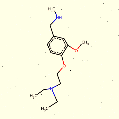 CCN(CC)CCOc1ccc(CNC)cc1OC